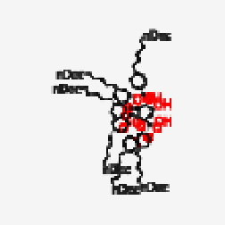 CCCCCCCCCCCCCCC[C@H]1CC[C@H](C(=O)O[C@@]2(C(=O)[C@H]3CC[C@H](CCCCCCCCCCCCCCC)CC3)[C@@](OC(=O)[C@H]3CC[C@H](CCCCCCCCCCCCCCC)CC3)(C(=O)[C@H]3CC[C@H](CCCCCCCCCCCCCCC)CC3)[C@@H](O)[C@H](O)[C@@H](O)[C@@]2(OC(=O)[C@H]2CC[C@H](CCCCCCCCCCCCCCC)CC2)C(=O)[C@H]2CC[C@H](CCCCCCCCCCCCCCC)CC2)CC1